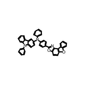 c1ccc(N(c2ccc(-c3nc4c(ccc5oc6ccccc6c54)o3)cc2)c2ccc3c(c2)c2ccccc2n3-c2ccccc2)cc1